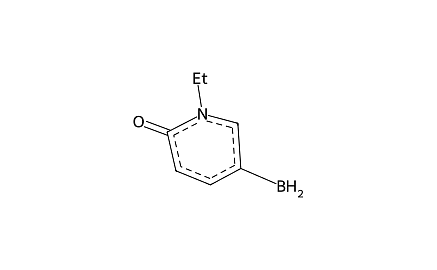 Bc1ccc(=O)n(CC)c1